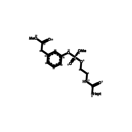 CCCCCCCC(=O)NCCOP(=O)(OC)Oc1cccc(CC(=O)OC)c1